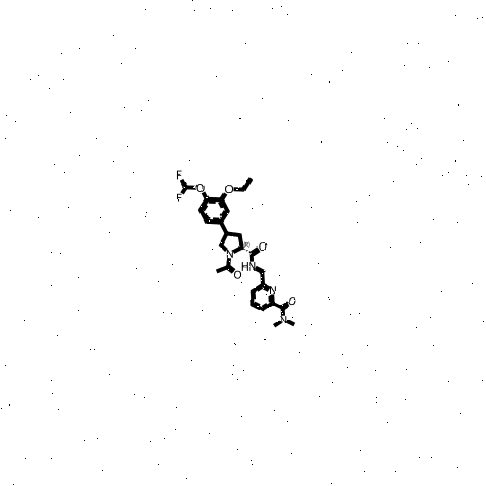 CCOc1cc(C2C[C@H](C(=O)NCc3cccc(C(=O)N(C)C)n3)N(C(C)=O)C2)ccc1OC(F)F